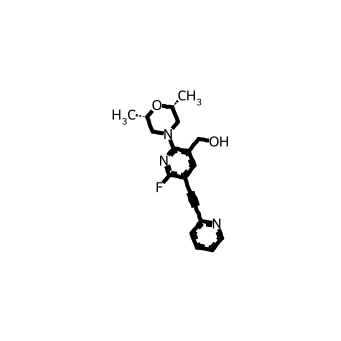 C[C@@H]1CN(c2nc(F)c(C#Cc3ccccn3)cc2CO)C[C@H](C)O1